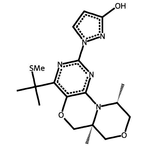 CSC(C)(C)c1nc(-n2ccc(O)n2)nc2c1OC[C@]1(C)COC[C@@H](C)N21